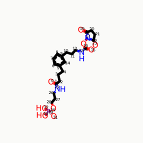 O=C(CCCc1cccc(CCCNC(=O)ON2C(=O)CCC2=O)c1)NCCCOP(=O)(O)O